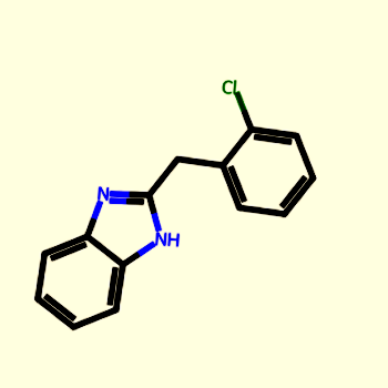 Clc1ccccc1Cc1nc2ccccc2[nH]1